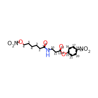 O=C(CCCCCO[N+](=O)[O-])NCCC(=O)Oc1ccc([N+](=O)[O-])cc1